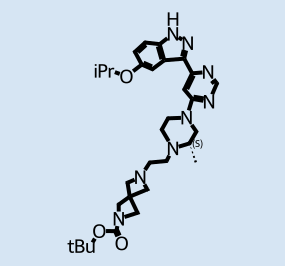 CC(C)Oc1ccc2[nH]nc(-c3cc(N4CCN(CCN5CC6(C5)CN(C(=O)OC(C)(C)C)C6)[C@@H](C)C4)ncn3)c2c1